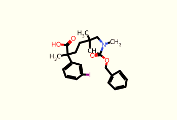 CN(CC(C)(C)CCC(C)(C(=O)O)c1cccc(I)c1)C(=O)OCc1ccccc1